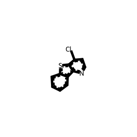 Clc1ccnc2c1sc1ccccc12